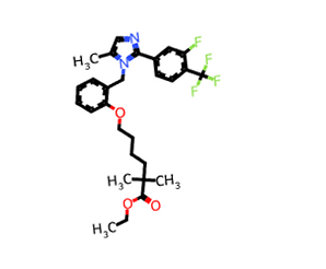 CCOC(=O)C(C)(C)CCCCOc1ccccc1Cn1c(C)cnc1-c1ccc(C(F)(F)F)c(F)c1